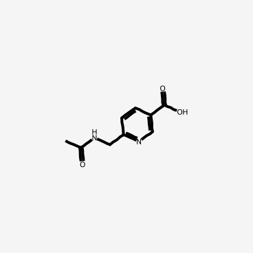 CC(=O)NCc1ccc(C(=O)O)cn1